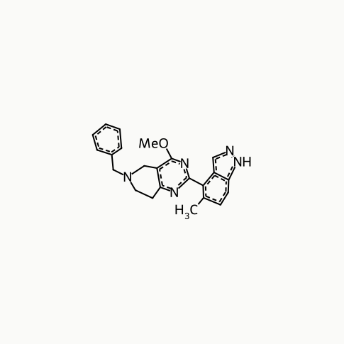 COc1nc(-c2c(C)ccc3[nH]ncc23)nc2c1CN(Cc1ccccc1)CC2